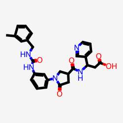 Cc1cccc(CNC(=O)Nc2cccc(N3CC(C(=O)NC(CC(=O)O)c4cccnc4)CC3=O)c2)c1